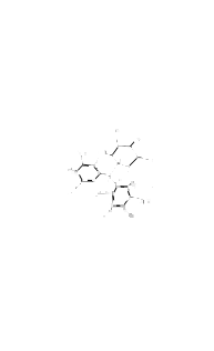 O=C1C(I)=CC2C(=C1I)Oc1c(cc(I)c(O)c1Cl)C2c1c(Br)c(Br)c(Br)c(Br)c1C(=O)O